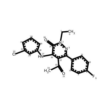 CCn1nc(-c2ccc(F)cc2)c(C(C)=O)c(Nc2cccc(Cl)c2)c1=O